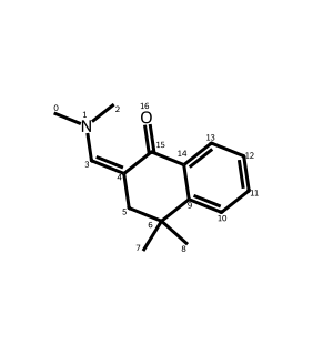 CN(C)C=C1CC(C)(C)c2ccccc2C1=O